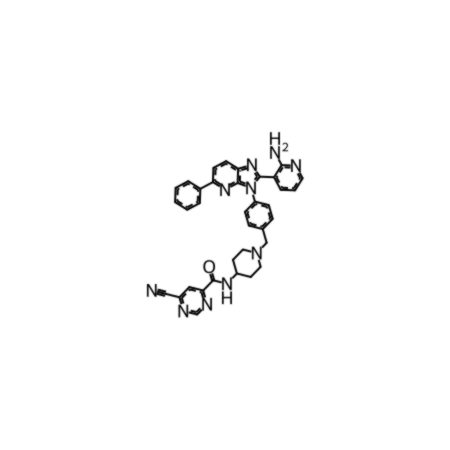 N#Cc1cc(C(=O)NC2CCN(Cc3ccc(-n4c(-c5cccnc5N)nc5ccc(-c6ccccc6)nc54)cc3)CC2)ncn1